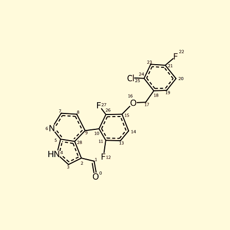 O=Cc1c[nH]c2nccc(-c3c(F)ccc(OCc4ccc(F)cc4Cl)c3F)c12